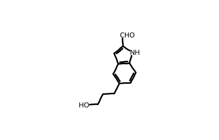 O=Cc1cc2cc(CCCO)ccc2[nH]1